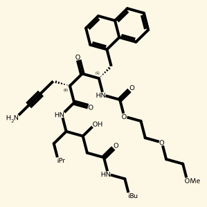 CCC(C)CNC(=O)CC(O)C(CC(C)C)NC(=O)[C@H](CC#CN)C(=O)[C@H](Cc1cccc2ccccc12)NC(=O)OCCOCCOC